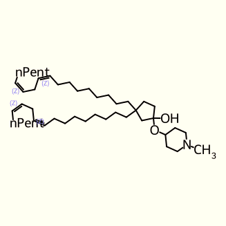 CCCCC/C=C\C/C=C\CCCCCCCCC1(CCCCCCCC/C=C\C/C=C\CCCCC)CCC(O)(OC2CCN(C)CC2)C1